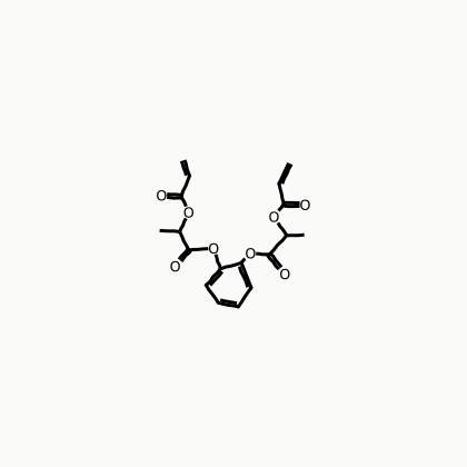 C=CC(=O)OC(C)C(=O)Oc1ccccc1OC(=O)C(C)OC(=O)C=C